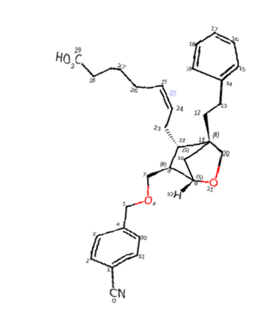 N#Cc1ccc(COC[C@@H]2[C@@H]3C[C@@](CCc4ccccc4)(CO3)[C@H]2C/C=C\CCCC(=O)O)cc1